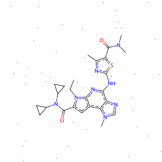 CCn1c(C(=O)N(C2CC2)C2CC2)cc2c3c(ncn3C)c(Nc3nc(C)c(C(=O)N(C)C)s3)nc21